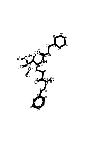 CCOP(=O)(OCC)C(O)[C@H](CCC(=O)N(CC)CCc1ccccc1)NC(=O)[CH]CC1CCCCC1